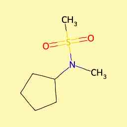 CN(C1CCCC1)S(C)(=O)=O